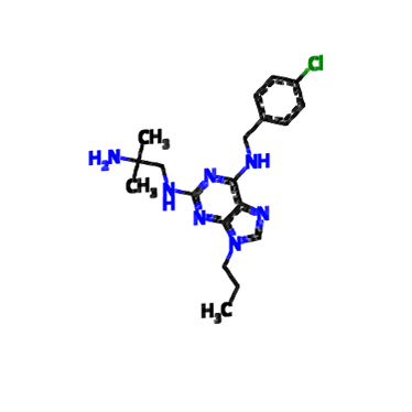 CCCn1cnc2c(NCc3ccc(Cl)cc3)nc(NCC(C)(C)N)nc21